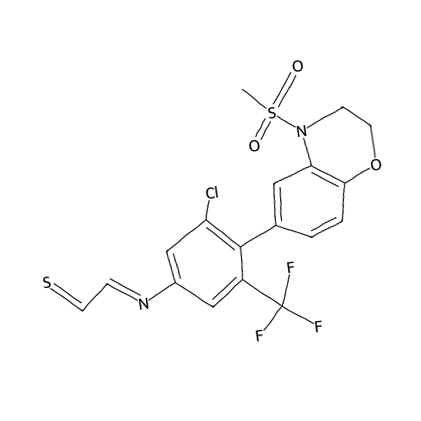 CS(=O)(=O)N1CCOc2ccc(-c3c(Cl)cc(N=CC=S)cc3C(F)(F)F)cc21